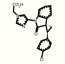 O=C(O)Cn1cnc(N2C(=O)[C@@]3(C[C@H]3c3ccc(Cl)cc3)c3ccccc32)c1